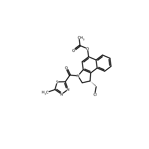 CC(=O)Oc1cc2c(c3ccccc13)[C@H](CCl)CN2C(=O)c1nnc(C)s1